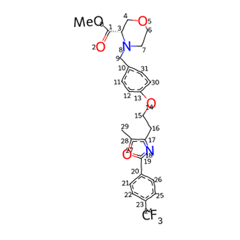 COC(=O)[C@@H]1COCCN1Cc1ccc(OCCc2nc(-c3ccc(C(F)(F)F)cc3)oc2C)cc1